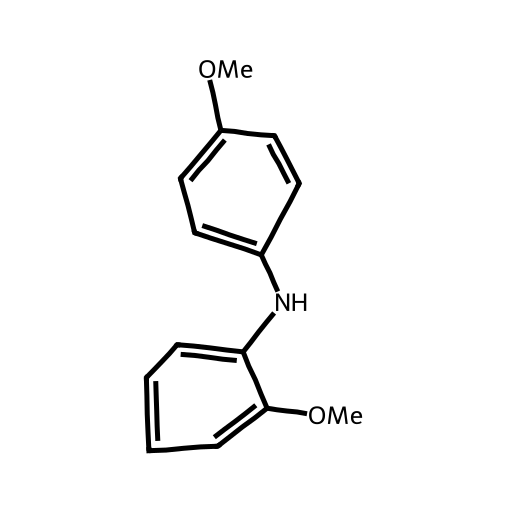 COc1ccc(Nc2ccccc2OC)cc1